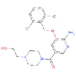 Nc1ncc(C(=O)N2CCN(CCO)CC2)cc1OCc1c(Cl)cccc1Cl